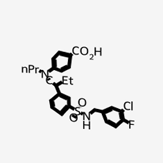 CCCN(CC(CC)c1cccc(S(=O)(=O)NCc2ccc(F)c(Cl)c2)c1)c1ccc(C(=O)O)cc1